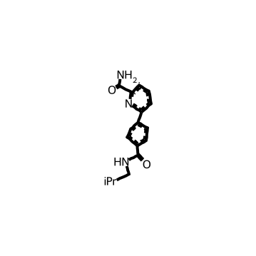 CC(C)CNC(=O)c1ccc(-c2cc[c]c(C(N)=O)n2)cc1